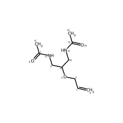 C=CCOC(CNC(C)=O)CNC(C)=O